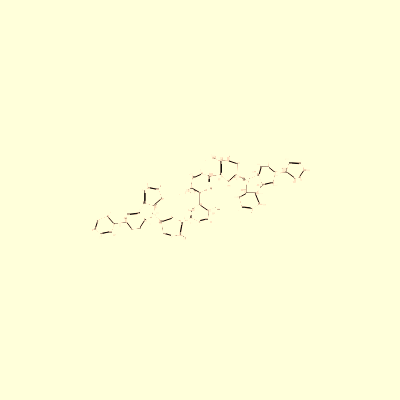 Cc1ccc(-n2c3ccccc3c3cc(-c4ccccc4)ccc32)cc1-c1ccc(C)c(-c2nc(-c3cc(-n4c5ccccc5c5cc(-c6ccccc6)ccc54)ccc3C)ccc2C)n1